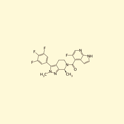 C[C@H]1c2nn(C)c(-c3cc(F)c(F)c(F)c3)c2CCN1C(=O)c1c(F)cnc2[nH]ccc12